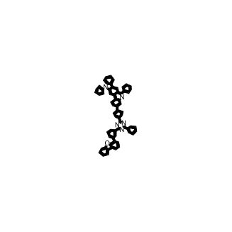 c1ccc(-c2nc(-c3ccc(-c4ccc5c(c4)nc(-c4ccccc4)c4cc6c7ccccc7n(-c7ccccc7)c6cc45)cc3)nc(-c3cccc(-c4cccc5c4oc4ccccc45)c3)n2)cc1